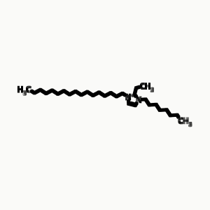 CCCCCCCCCCCCCCCCC[n+]1ccn(CCCCCCCC)c1CC